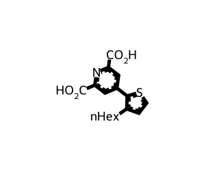 CCCCCCc1ccsc1-c1cc(C(=O)O)nc(C(=O)O)c1